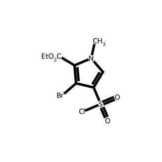 CCOC(=O)c1c(Br)c(S(=O)(=O)Cl)cn1C